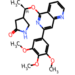 COc1cc(-c2cc3ncccc3c(O[C@H](C)C3CNC(=O)C3)n2)cc(OC)c1OC